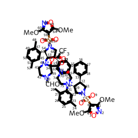 COc1noc(OC)c1S(=O)(=O)N1C[C@H](c2ccccc2)[C@@H]([N+]2(c3cc(C)ccc3C)CCN(C(=O)C3(OC(=O)C(F)(F)F)CN(C=O)CC[N@+]3(c3cc(C)ccc3C)[C@H]3CN(S(=O)(=O)c4c(OC)noc4OC)C[C@@H]3c3ccccc3)CC2)C1